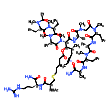 C/C=C/C[C@@H](C)[C@@H](OC(=O)CCCCSC[C@@H](NC(C)=O)C(=O)N[C@H](CCCNC(=N)N)C(N)=O)[C@@H](C(=O)N[C@@H](CC)C(=O)N(C)CC(=O)N(C)[C@@H](CC(C)C)C(=O)N[C@H](C(=O)N(C)[C@@H](CC(C)C)C(=O)N[C@@H](C)C(N)=O)C(C)C)N(C)C(=O)[C@H](C(C)C)N(C)C(=O)[C@H](CC(C)C)N(C)C(=O)[C@H](CC(C)C)N(C)C(=O)CC